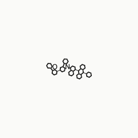 c1ccc(-c2c3ccccc3c(-c3ccc(-n4c5ccccc5c5cc(-c6cccc7c6oc6ccccc67)ccc54)c4ccccc34)c3ccccc23)cc1